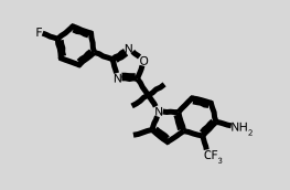 Cc1cc2c(C(F)(F)F)c(N)ccc2n1C(C)(C)c1nc(-c2ccc(F)cc2)no1